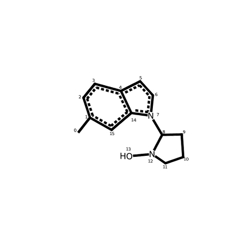 Cc1ccc2ccn(C3CCCN3O)c2c1